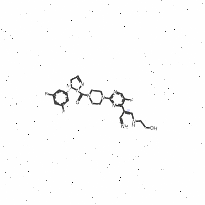 N=C/C(=C\NCCO)c1nc(N2CCN(C(=O)N3N=CC[C@H]3c3cc(F)cc(F)c3)CC2)ncc1F